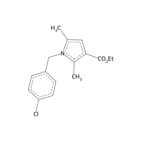 CCOC(=O)c1cc(C)n(Cc2ccc(Cl)cc2)c1C